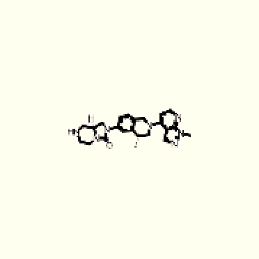 C[C@H]1CN(c2ccnc3c2cnn3C)Cc2ccc(N3C[C@@H]4CNCCN4C3=O)cc21